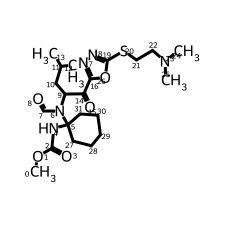 COC(=O)NC1(N(C=O)C(CC(C)C)C(=O)c2nnc(SCCN(C)C)o2)CCCCC1